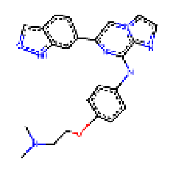 CN(C)CCOc1ccc(Nc2nc(-c3ccc4cn[nH]c4c3)cn3ccnc23)cc1